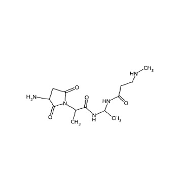 CNCCC(=O)NC(C)NC(=O)C(C)N1C(=O)CC(N)C1=O